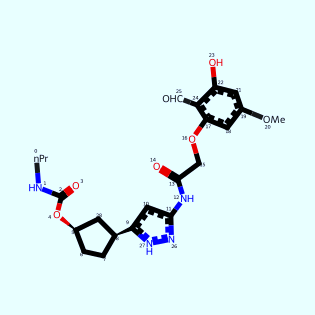 CCCNC(=O)O[C@@H]1CC[C@H](c2cc(NC(=O)COc3cc(OC)cc(O)c3C=O)n[nH]2)C1